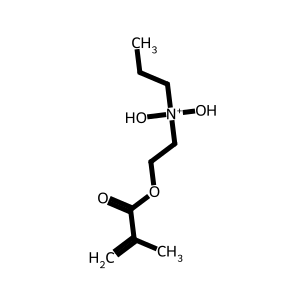 C=C(C)C(=O)OCC[N+](O)(O)CCC